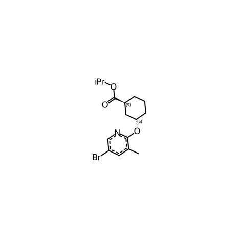 Cc1cc(Br)cnc1O[C@H]1CCC[C@H](C(=O)OC(C)C)C1